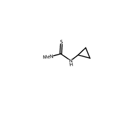 CNC(=S)NC1CC1